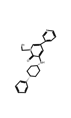 CC(C)Cn1cc(-c2cccnc2)cc(N[C@H]2CC[C@@H](c3ccccc3)CC2)c1=O